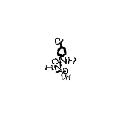 CC(=O)c1ccc(NC(=O)CNC(C)C(=O)O)cc1